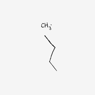 CCCC.[CH3]